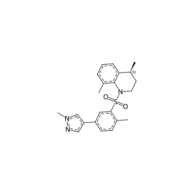 Cc1ccc(-c2cnn(C)c2)cc1S(=O)(=O)N1CC[C@H](C)c2cccc(C)c21